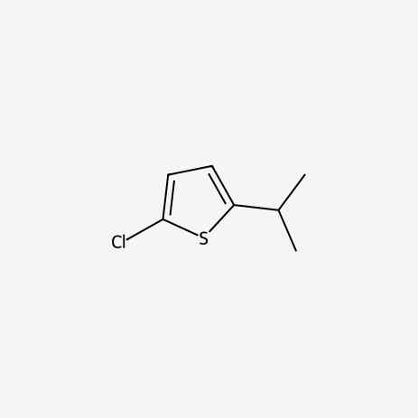 CC(C)c1ccc(Cl)s1